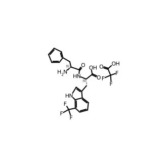 N[C@@H](Cc1ccccc1)C(=O)N[C@@H](Cc1c[nH]c2c(C(F)(F)F)cccc12)C(=O)O.O=C(O)C(F)(F)F